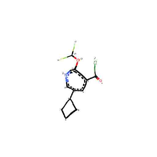 O=C(Cl)c1cc(C2CCC2)cnc1OC(F)F